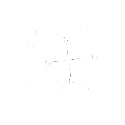 CN(C)S(S)(N(C)C)N(C)C